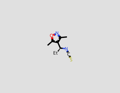 CC[C@H](N=C=S)c1c(C)noc1C